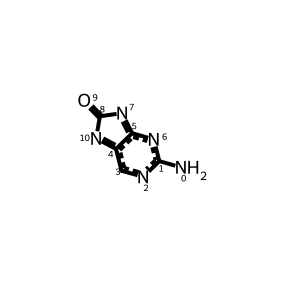 Nc1ncc2c(n1)=NC(=O)N=2